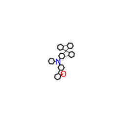 c1ccc(N(c2ccc3c(c2)-c2ccccc2C32c3ccccc3-c3ccccc32)c2ccc3oc4ccccc4c3c2)cc1